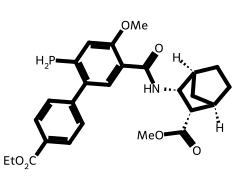 CCOC(=O)c1ccc(-c2cc(C(=O)N[C@@H]3[C@H]4CC[C@H](C4)[C@@H]3C(=O)OC)c(OC)cc2P)cc1